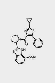 CSc1cccc2nc(C3CCCN3C(=O)c3nc(C4CC4)sc3-c3ccccc3)[nH]c12